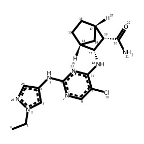 CCn1cc(Nc2ncc(Cl)c(N[C@@H]3[C@@H]4CC[C@@H](C4)[C@@H]3C(N)=O)n2)cn1